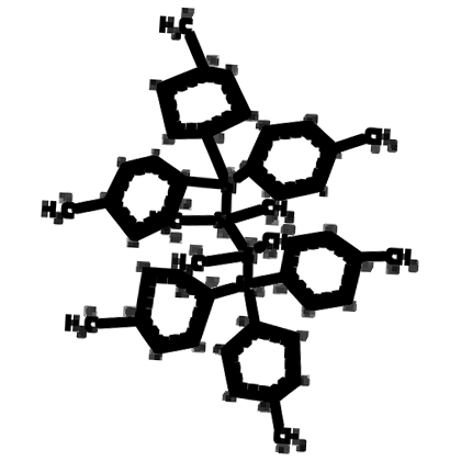 Cc1ccc([Si](c2ccc(C)cc2)(c2ccc(C)cc2)[Si](C)(C)[Si](C)(C)[Si](c2ccc(C)cc2)(c2ccc(C)cc2)c2ccc(C)cc2)cc1